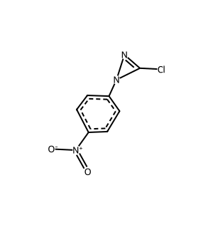 O=[N+]([O-])c1ccc(N2N=C2Cl)cc1